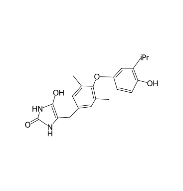 Cc1cc(Cc2[nH]c(=O)[nH]c2O)cc(C)c1Oc1ccc(O)c(C(C)C)c1